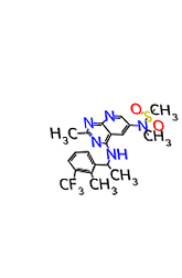 Cc1nc(NC(C)c2cccc(C(F)(F)F)c2C)c2cc(N(C)S(C)(=O)=O)cnc2n1